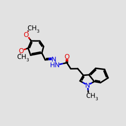 COc1ccc(/C=N/NC(=O)CCc2cn(C)c3ccccc23)cc1OC